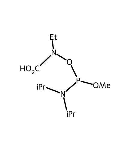 CCN(OP(OC)N(C(C)C)C(C)C)C(=O)O